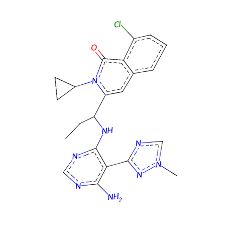 CCC(Nc1ncnc(N)c1-c1ncn(C)n1)c1cc2cccc(Cl)c2c(=O)n1C1CC1